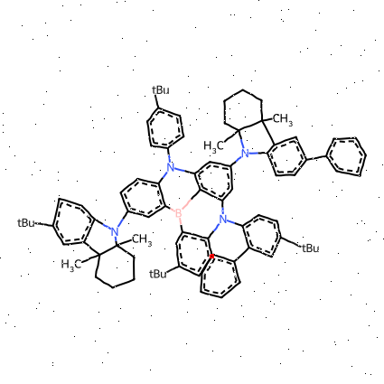 CC(C)(C)c1ccc(N2c3ccc(N4c5ccc(C(C)(C)C)cc5C5(C)CCCCC45C)cc3B3c4cc(C(C)(C)C)ccc4N(c4ccc(C(C)(C)C)cc4-c4ccccc4)c4cc(N5c6ccc(-c7ccccc7)cc6C6(C)CCCCC56C)cc2c43)cc1